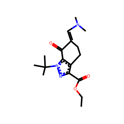 CCOC(=O)c1nn(C(C)(C)C)c2c1CCC(=CN(C)C)C2=O